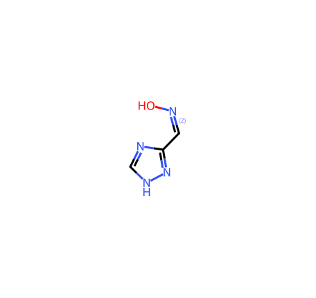 O/N=C\c1nc[nH]n1